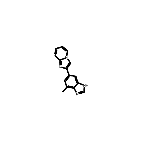 Cc1cc(-c2cn3cccnc3n2)cc2[nH]cnc12